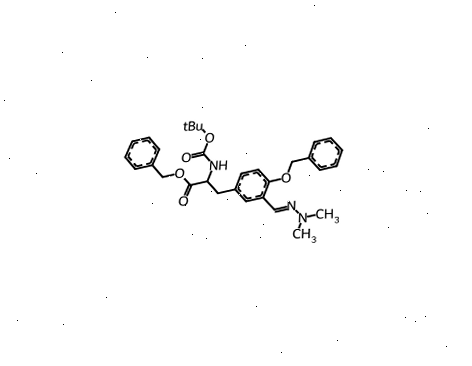 CN(C)/N=C/c1cc(CC(NC(=O)OC(C)(C)C)C(=O)OCc2ccccc2)ccc1OCc1ccccc1